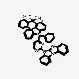 CC1(C)c2ccccc2Sc2c1cccc2[Si](c1ccccc1)(c1ccccc1)c1ccnc(-n2c3ccccc3n3c4ccccc4nc23)n1